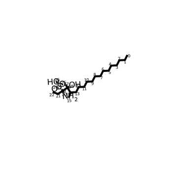 CCCCCCCCCCCCCCC(C)C(C)(O)C(N)(CC)S(=O)(=O)O